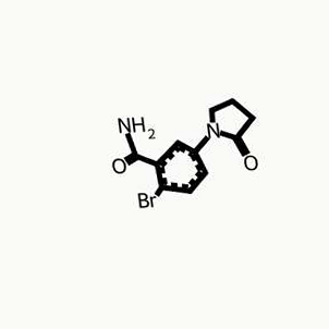 NC(=O)c1cc(N2CCCC2=O)ccc1Br